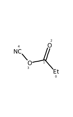 CCC(=O)OC#N